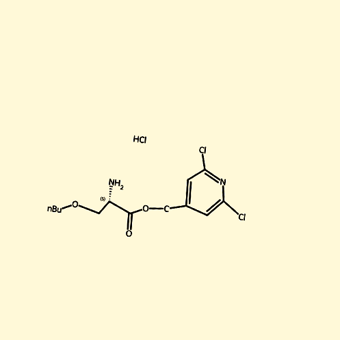 CCCCOC[C@H](N)C(=O)OCc1cc(Cl)nc(Cl)c1.Cl